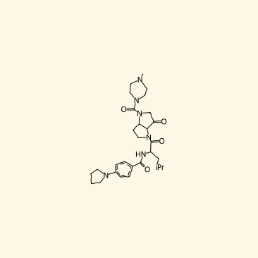 CC(C)CC(NC(=O)c1ccc(N2CCCC2)cc1)C(=O)N1CCC2C1C(=O)CN2C(=O)N1CCN(C)CC1